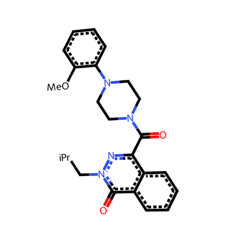 COc1ccccc1N1CCN(C(=O)c2nn(CC(C)C)c(=O)c3ccccc23)CC1